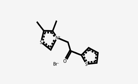 Cc1sc[n+](CC(=O)c2cccs2)c1C.[Br-]